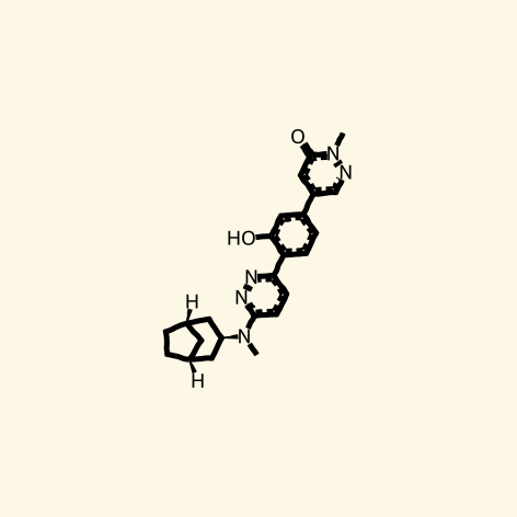 CN(c1ccc(-c2ccc(-c3cnn(C)c(=O)c3)cc2O)nn1)[C@H]1C[C@@H]2CC[C@@H](C2)C1